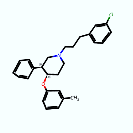 Cc1cccc(O[C@@H]2CCN(CCCc3cccc(Cl)c3)C[C@@H]2c2ccccc2)c1